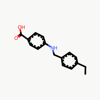 CCc1ccc(CNc2ccc(C(=O)O)cc2)cc1